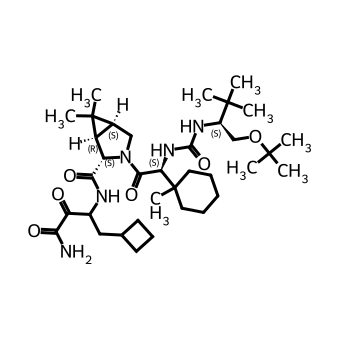 CC(C)(C)OC[C@@H](NC(=O)N[C@H](C(=O)N1C[C@H]2[C@@H]([C@H]1C(=O)NC(CC1CCC1)C(=O)C(N)=O)C2(C)C)C1(C)CCCCC1)C(C)(C)C